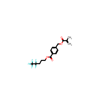 C=C(C)C(=O)OCc1ccc(C(=O)OCCCC(F)(F)C(F)(F)F)cc1